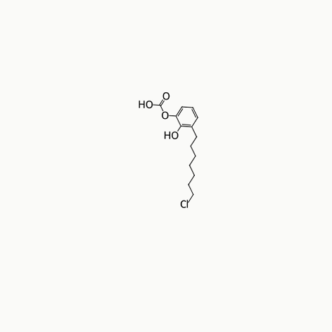 O=C(O)Oc1cccc(CCCCCCCCl)c1O